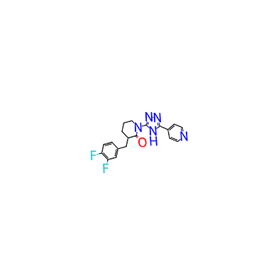 O=C1C(Cc2ccc(F)c(F)c2)CCCN1c1nnc(-c2ccncc2)[nH]1